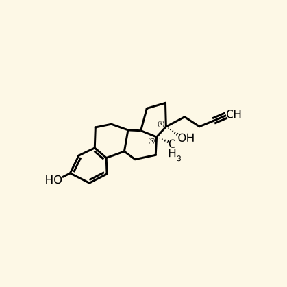 C#CCC[C@]1(O)CCC2C3CCc4cc(O)ccc4C3CC[C@@]21C